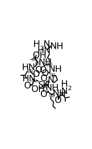 CCCC[C@H](NC(=O)[C@@H](N)C(C)C)C(=O)N[C@@H](C)C(=O)N1CCC[C@H]1C(=O)N[C@@H](CCCNC(=N)N)C(=O)N[C@H](C(=O)N[C@@H](CC(C)C)C(=O)N[C@@H](CS)C(=O)O)[C@@H](C)O